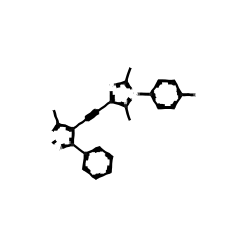 Cc1onc(-c2ccccc2)c1C#Cc1nc(C)n(-c2ccc(F)cc2)c1C